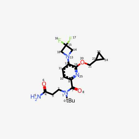 CC(C)(C)N(CCC(N)=O)C(=O)c1ccc(N2CC(F)(F)C2)c(OCC2CC2)n1